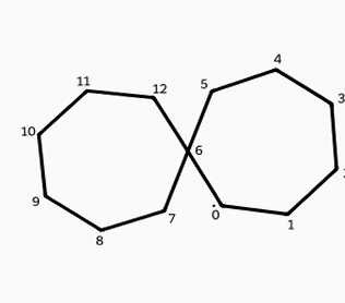 [CH]1CCCCCC12CCCCCC2